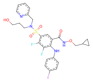 O=C(NOCC1CC1)c1cc(S(=O)(=O)N(CCCO)Cc2ccccn2)c(F)c(F)c1Nc1ccc(I)cc1